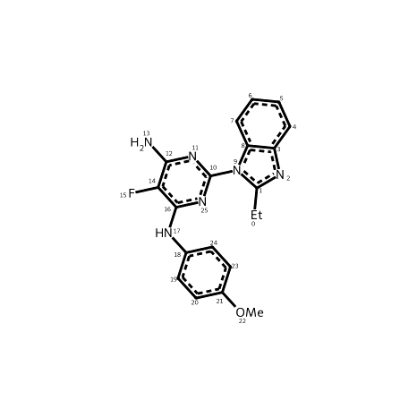 CCc1nc2ccccc2n1-c1nc(N)c(F)c(Nc2ccc(OC)cc2)n1